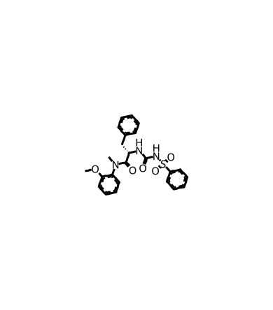 COc1ccccc1N(C)C(=O)[C@H](Cc1ccccc1)NC(=O)NS(=O)(=O)c1ccccc1